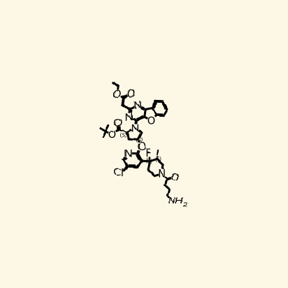 CCOC(=O)Cc1nc(N2C[C@@H](Oc3ncc(Cl)cc3[C@@]3(F)CCN(C(=O)CCCN)C[C@@H]3C)C[C@H]2C(=O)OC(C)(C)C)c2oc3ccccc3c2n1